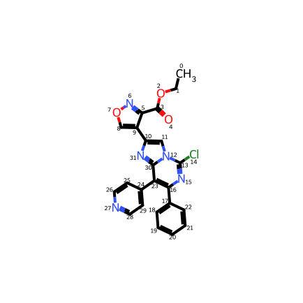 CCOC(=O)c1nocc1-c1cn2c(Cl)nc(-c3ccccc3)c(-c3ccncc3)c2n1